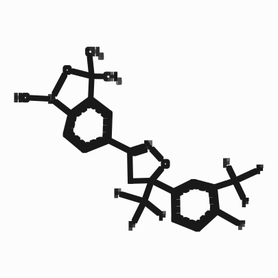 CC1(C)OB(O)c2ccc(C3=NOC(c4ccc(F)c(C(F)(F)F)c4)(C(F)(F)F)C3)cc21